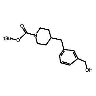 CC(C)(C)OC(=O)N1CCC(Cc2cccc(CO)c2)CC1